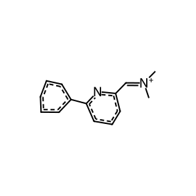 C[N+](C)=Cc1cccc(-c2ccccc2)n1